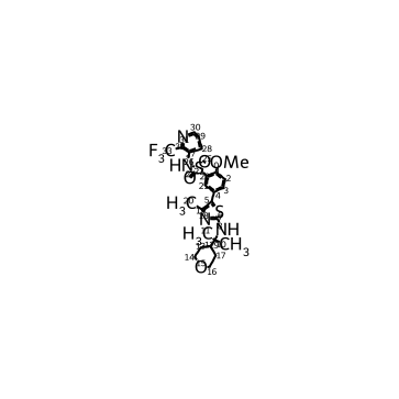 COc1ccc(-c2sc(NC(C)(C)C3CCOCC3)nc2C)cc1S(=O)(=O)Nc1cccnc1C(F)(F)F